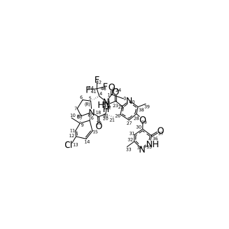 CC(=O)NC([C@H]1CC[C@@H](C2(C)C=C(Cl)C=CC2)N1C(=O)[C@@H](C)NC(=O)c1ccc(Oc2cc(C)n[nH]c2=O)c(C)n1)C(F)(F)F